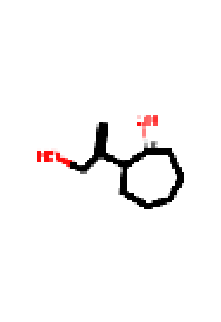 C=C(CO)C1CCCCC[C@H]1O